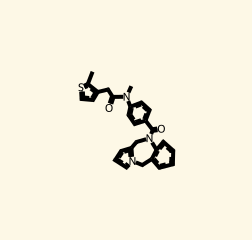 Cc1sccc1CC(=O)N(C)c1ccc(C(=O)N2Cc3cccn3Cc3ccccc32)cc1